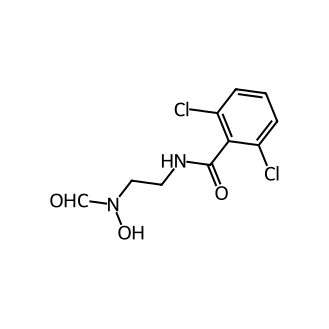 O=CN(O)CCNC(=O)c1c(Cl)cccc1Cl